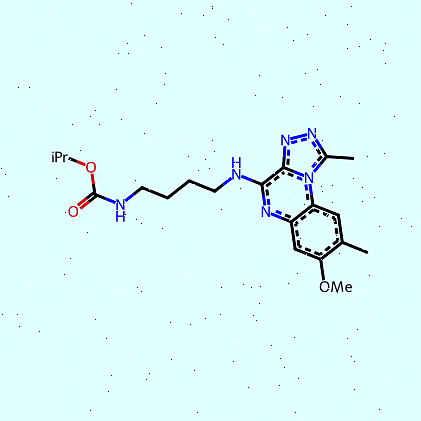 COc1cc2nc(NCCCCNC(=O)OC(C)C)c3nnc(C)n3c2cc1C